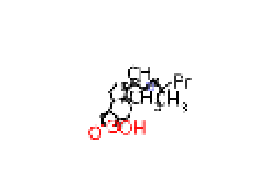 CC(C)[C@@H](C)/C=C/[C@@H](C)[C@H]1CCC2C3=CC(=O)O[C@@]3(O)CC[C@@]21C